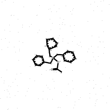 CC(=O)O[Si](Cc1ccccc1)(Cc1ccccc1)Cc1ccccc1